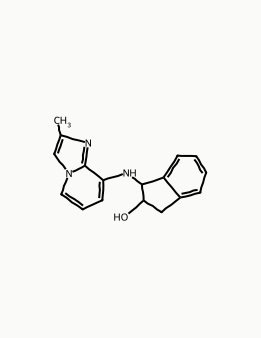 Cc1cn2cccc(NC3c4ccccc4CC3O)c2n1